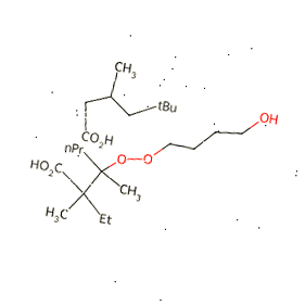 CC(CC(=O)O)CC(C)(C)C.CCCC(C)(OOCCCCO)C(C)(CC)C(=O)O